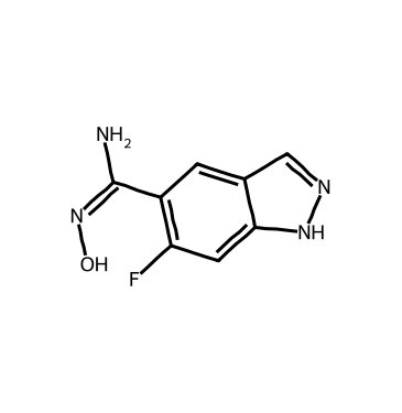 N/C(=N/O)c1cc2cn[nH]c2cc1F